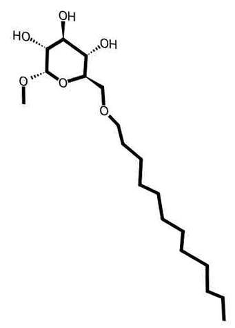 CCCCCCCCCCCCOC[C@H]1O[C@H](OC)[C@H](O)[C@@H](O)[C@@H]1O